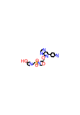 CN(C)c1ccc(-c2cc3nccnc3c(OC[C@@H]3CN(S(=O)(=O)CCN4CC[C@H](O)C4)CCO3)n2)cc1